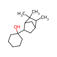 CC1C2CC(C3(O)CCCCC3)C(C2)C1(C)C